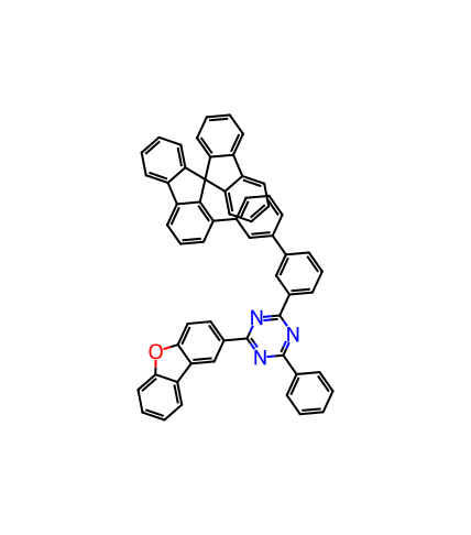 c1ccc(-c2nc(-c3cccc(-c4cccc(-c5cccc6c5C5(c7ccccc7-c7ccccc75)c5ccccc5-6)c4)c3)nc(-c3ccc4oc5ccccc5c4c3)n2)cc1